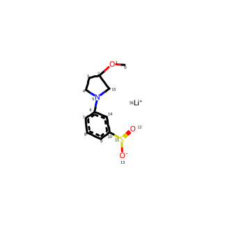 COC1CCN(c2cccc(S(=O)[O-])c2)C1.[Li+]